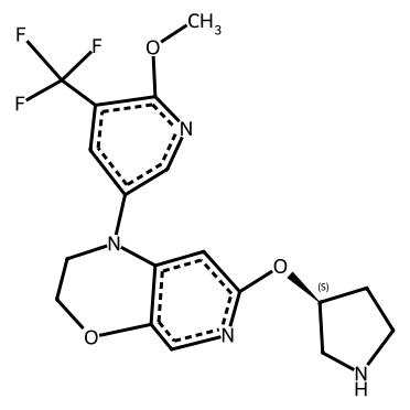 COc1ncc(N2CCOc3cnc(O[C@H]4CCNC4)cc32)cc1C(F)(F)F